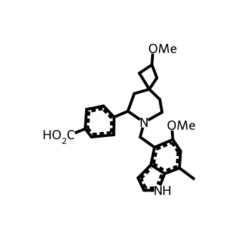 COc1cc(C)c2[nH]ccc2c1CN1CCC2(CC(OC)C2)CC1c1ccc(C(=O)O)cc1